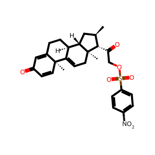 C[C@@H]1C[C@H]2[C@@H]3CCC4=CC(=O)C=C[C@]4(C)C3=CC[C@]2(C)[C@H]1C(=O)COS(=O)(=O)c1ccc([N+](=O)[O-])cc1